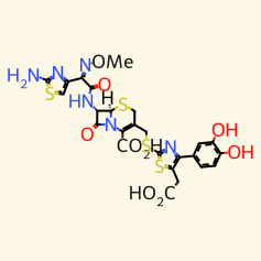 CO/N=C(\C(=O)N[C@@H]1C(=O)N2C(C(=O)O)=C(CSc3nc(-c4ccc(O)c(O)c4)c(CC(=O)O)s3)CS[C@H]12)c1csc(N)n1